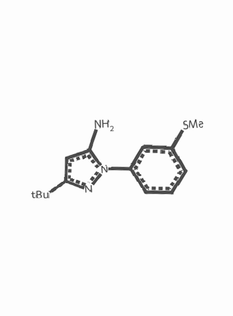 CSc1cccc(-n2nc(C(C)(C)C)cc2N)c1